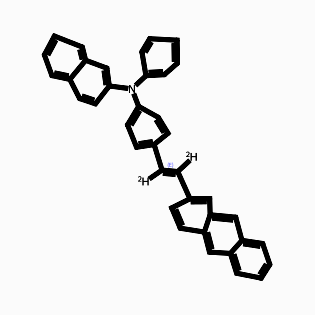 [2H]/C(=C(/[2H])c1ccc2cc3ccccc3cc2c1)c1ccc(N(c2ccccc2)c2ccc3ccccc3c2)cc1